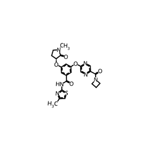 Cc1csc(NC(=O)c2cc(Oc3cnc(C(=O)N4CCC4)cn3)cc(O[C@H]3CCN(C)C3=O)c2)n1